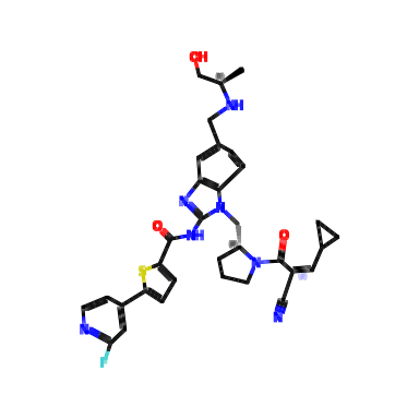 C[C@H](CO)NCc1ccc2c(c1)nc(NC(=O)c1ccc(-c3ccnc(F)c3)s1)n2C[C@H]1CCCN1C(=O)/C(C#N)=C\C1CC1